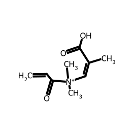 C=CC(=O)[N+](C)(C)C=C(C)C(=O)O